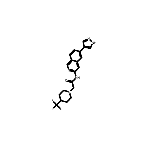 O=C(CN1CCC(C(F)(F)F)CC1)Nc1cc2cc(-c3cn[nH]c3)ccc2cn1